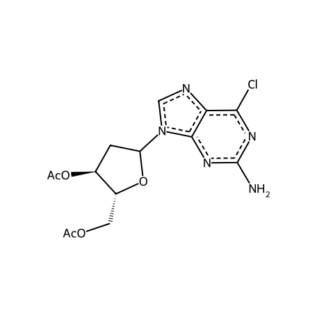 CC(=O)OC[C@H]1OC(n2cnc3c(Cl)nc(N)nc32)C[C@@H]1OC(C)=O